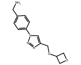 NCc1ccc(-n2cc(COC3COC3)nn2)cc1